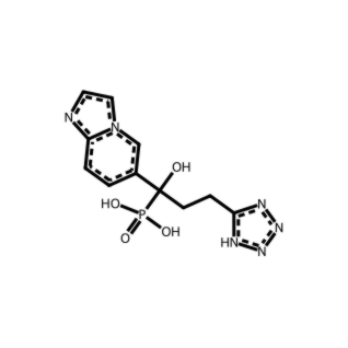 O=P(O)(O)C(O)(CCc1nnn[nH]1)c1ccc2nccn2c1